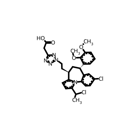 COc1cccc([C@H]2C[C@H](CCn3nnc(CC(=O)O)n3)c3ccc(C(C)Cl)n3-c3ccc(Cl)cc32)c1OC